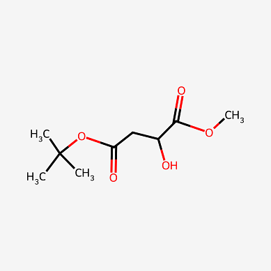 COC(=O)C(O)CC(=O)OC(C)(C)C